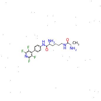 C[C@H](N)C(=O)NCCCC[C@H](N)C(=O)Nc1ccc(-c2c(F)c(F)nc(F)c2F)cc1